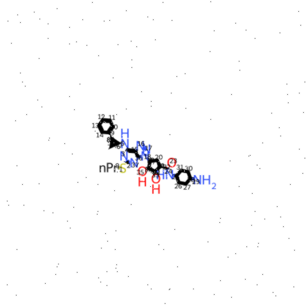 CCCSc1nc(N[C@@H]2C[C@H]2c2ccccc2)c2nnn([C@H]3C[C@@H](C(=O)NC4CCC(N)CC4)[C@H](O)[C@@H]3O)c2n1